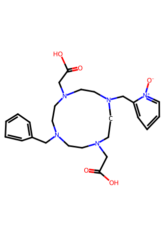 O=C(O)CN1CCN(Cc2ccccc2)CCN(CC(=O)O)CCN(Cc2cccc[n+]2[O-])CC1